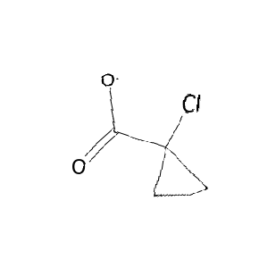 [O]C(=O)C1(Cl)CC1